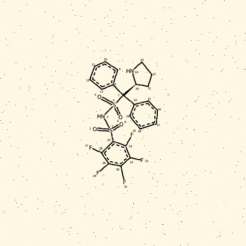 O=S(=O)(NS(=O)(=O)C(c1ccccc1)(c1ccccc1)[C@@H]1CCCN1)c1c(F)c(F)c(F)c(F)c1F